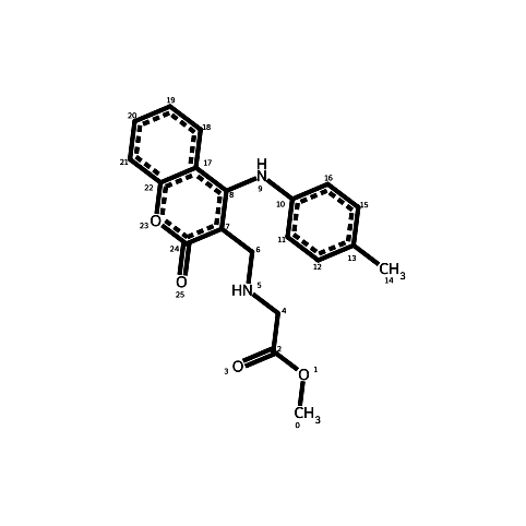 COC(=O)CNCc1c(Nc2ccc(C)cc2)c2ccccc2oc1=O